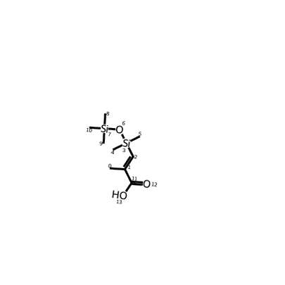 C/C(=C\[Si](C)(C)O[Si](C)(C)C)C(=O)O